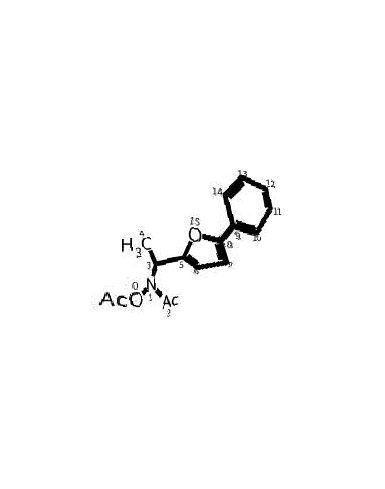 CC(=O)ON(C(C)=O)C(C)c1ccc(-c2ccccc2)o1